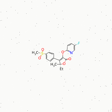 CC[C@@]1(C)OC(=O)C(Oc2ccc(F)cn2)=C1c1ccc(S(C)(=O)=O)cc1